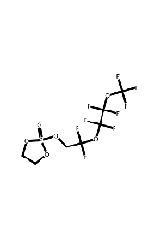 O=P1(OCC(F)(F)OC(F)(F)C(F)(F)OC(F)(F)F)OCCO1